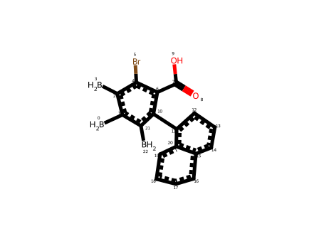 Bc1c(B)c(Br)c(C(=O)O)c(-c2cccc3ccccc23)c1B